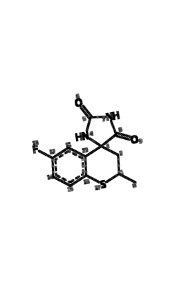 CC1CC2(NC(=O)NC2=O)c2cc(F)ccc2S1